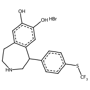 Br.Oc1cc2c(cc1O)C(c1ccc(SC(F)(F)F)cc1)CNCC2